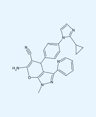 Cn1nc(-c2ccccn2)c2c1OC(N)=C(C#N)C2c1ccc(-n2ccnc2C2CC2)cc1